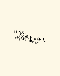 CN(C)CCCN(CCCNC(=O)c1ccc(N)cc1)C(=O)c1ccc(N)cc1